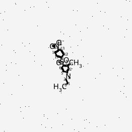 CCC=Nc1ccc(S(=O)(=O)c2ccc([N+](=O)[O-])cc2)c(C)c1